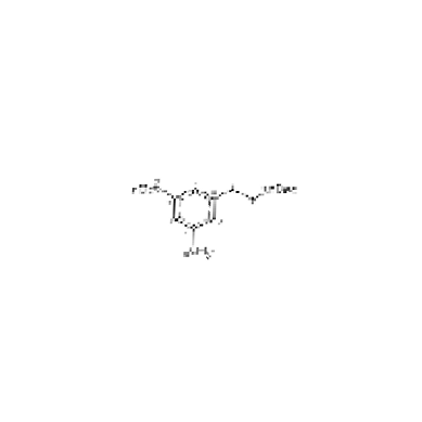 [CH2]c1cc(CCCCCCCC)cc(CCCCCCCCCCCC)c1